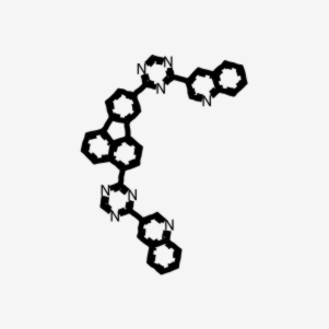 c1ccc2ncc(-c3ncnc(-c4ccc5c(c4)-c4ccc(-c6ncnc(-c7cnc8ccccc8c7)n6)c6cccc-5c46)n3)cc2c1